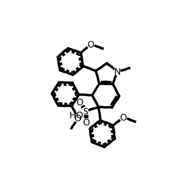 COc1ccccc1C1CN(C)C2=C1C(c1ccccc1OC)C(c1ccccc1OC)(S(=O)(=O)O)C=C2